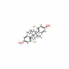 CC(C)(c1ccc(O)cc1F)C(C)(C)c1ccc(O)cc1F